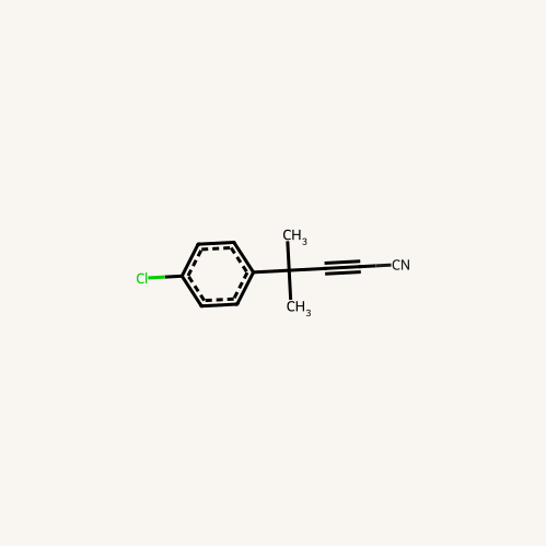 CC(C)(C#CC#N)c1ccc(Cl)cc1